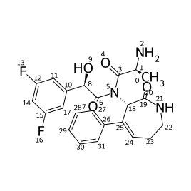 C[C@H](N)C(=O)N(C(=O)[C@H](O)c1cc(F)cc(F)c1)[C@@H]1C(=O)NCCC=C1c1ccccc1